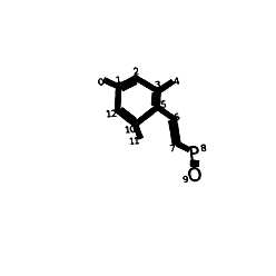 Cc1cc(C)c(C=CP=O)c(C)c1